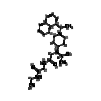 CC(c1cccc2ccccc12)N1CCC(N(CC(=O)NCC(=O)NCC#N)[S+](C)[O-])CC1